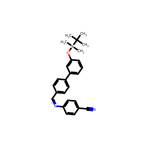 CC(C)(C)[Si](C)(C)Oc1cccc(-c2ccc(/C=N\c3ccc(C#N)cc3)cc2)c1